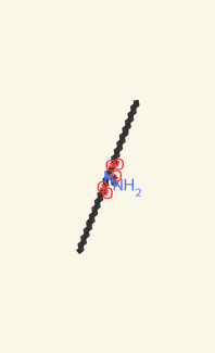 CCCCCCCCC=CCCCCCCCC(=O)OCCN(CCOC(=O)CCCCCCCC=CCCCCCCCC)C(=O)CN